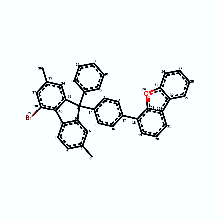 Cc1ccc2c(c1)C(c1ccccc1)(c1ccc(-c3cccc4c3oc3ccccc34)cc1)c1cc(C)cc(Br)c1-2